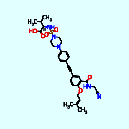 CC(C)=CCOc1ccc(C#Cc2ccc(N3CCN(S(=O)(=O)N[C@@H](C(=O)O)C(C)C)CC3)cc2)cc1C(=O)NCC#N